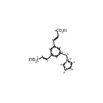 CCOC(=O)C=Cc1cc(C=CC(=O)OCC)cc(Cn2ccnc2)c1